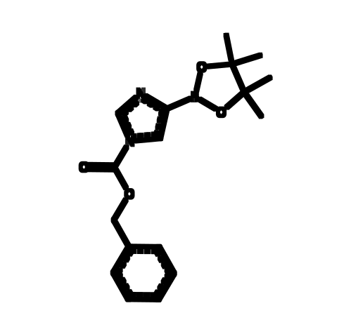 CC1(C)OB(c2cn(C(=O)OCc3ccccc3)cn2)OC1(C)C